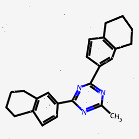 Cc1nc(-c2ccc3c(c2)CCCC3)nc(-c2ccc3c(c2)CCCC3)n1